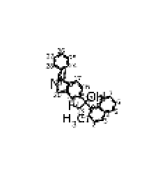 Cc1ccc2ccccc2c1C(O)(CF)c1ccc2c(cnn2-c2ccccc2)c1